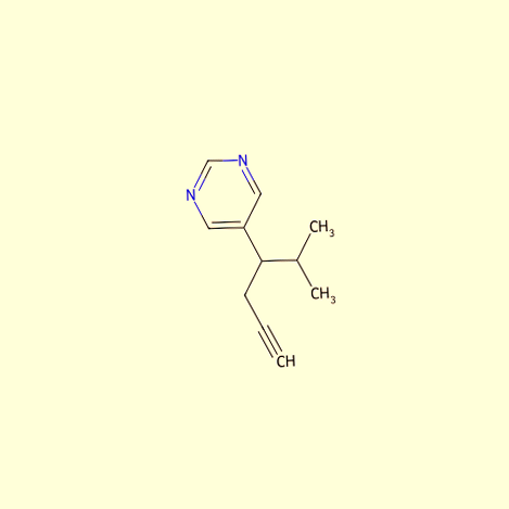 C#CCC(c1cncnc1)C(C)C